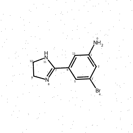 Nc1cc(Br)cc(C2=NCCN2)c1